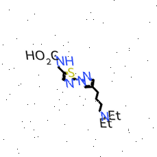 CCN(CC)CCCCc1cnn(-c2ncc(CNC(=O)O)s2)c1